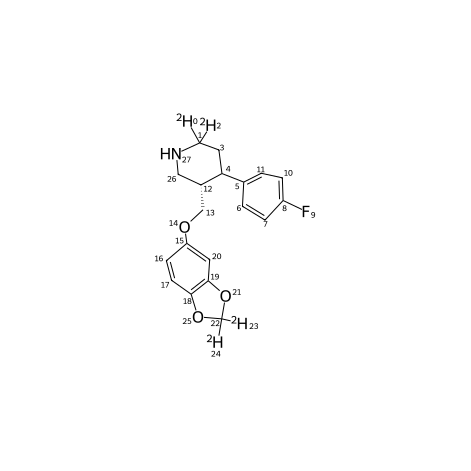 [2H]C1([2H])CC(c2ccc(F)cc2)[C@H](COc2ccc3c(c2)OC([2H])([2H])O3)CN1